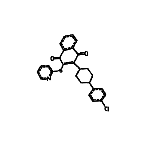 O=C1C(Sc2ccccn2)=C(C2CCC(c3ccc(Cl)cc3)CC2)C(=O)c2ccccc21